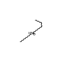 CCCCC/C=C\C/C=C\CCCCCCCC(=O)NCCCCCCCCCCCC